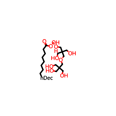 CCCCCCCCCCCCCCCCCC(=O)OO.OCC(CO)(CO)COCC(CO)(CO)CO